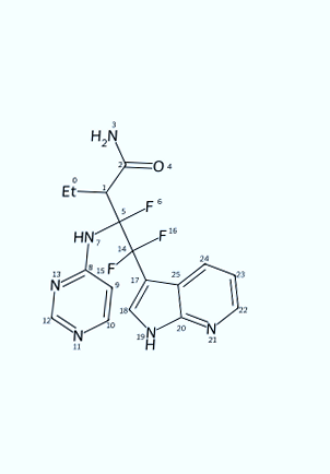 CCC(C(N)=O)C(F)(Nc1ccncn1)C(F)(F)c1c[nH]c2ncccc12